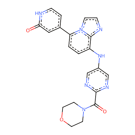 O=C(c1ncc(Nc2ccc(-c3cc[nH]c(=O)c3)n3ccnc23)cn1)N1CCOCC1